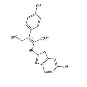 O=CC/C(=C(\Nc1nc2ccc(O)cc2s1)C(=O)O)c1ccc(O)cc1